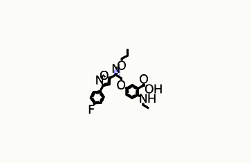 CCCO/N=C(\COc1ccc(NCC)c(C(=O)O)c1)c1cc(-c2ccc(F)cc2)no1